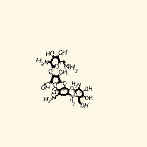 NC[C@H]1O[C@H](O[C@@H]2C(O)[C@H](O[C@@H]3C(O)[C@H](N)CC(N)[C@H]3O[C@H]3OC(CO)[C@@H](O)[C@H](O)C3N)O[C@@H]2CO)C(N)C(O)[C@@H]1O